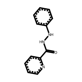 O=C(NNc1ccccc1)c1ccccn1